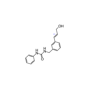 O=C(NCc1cccc(/C=C/CO)c1)Nc1ccccc1